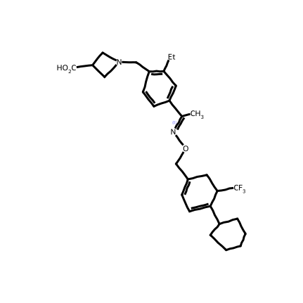 CCc1cc(/C(C)=N/OCC2=CC=C(C3CCCCC3)C(C(F)(F)F)C2)ccc1CN1CC(C(=O)O)C1